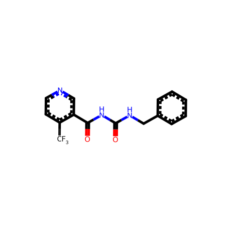 O=C(NCc1ccccc1)NC(=O)c1cnccc1C(F)(F)F